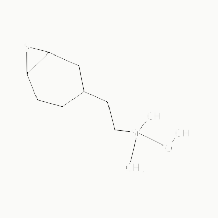 CO[Si](C)(C)CCC1CCC2SC2C1